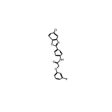 O=C(COc1cccc(F)c1)Nc1ccc(-c2nc3cc(Cl)ccc3o2)cc1